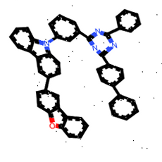 c1ccc(-c2ccc(-c3nc(-c4ccccc4)nc(-c4cccc(-n5c6ccccc6c6cc(-c7ccc8oc9ccccc9c8c7)ccc65)c4)n3)cc2)cc1